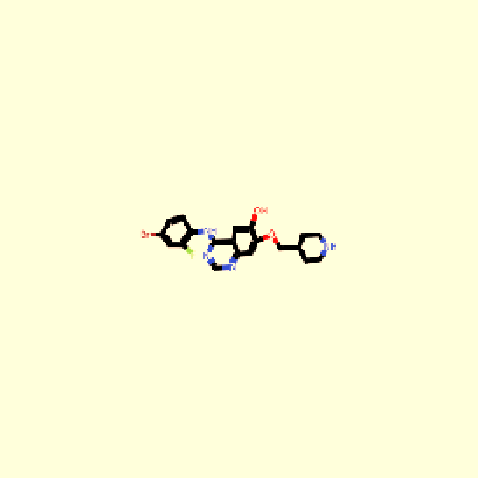 Oc1cc2c(Nc3ccc(Br)cc3F)ncnc2cc1OCC1CCNCC1